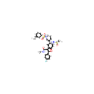 CNC(=O)c1c(-c2ccc(F)cc2)oc2cc(N[S@+](C)[O-])c([C@@H]3CCCN(S(=O)(=O)c4cccc(C)c4)C3)cc12